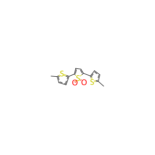 Cc1ccc(C2=CC=C(c3ccc(C)s3)S2(=O)=O)s1